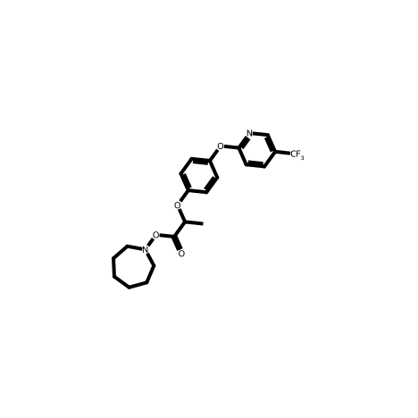 CC(Oc1ccc(Oc2ccc(C(F)(F)F)cn2)cc1)C(=O)ON1CCCCCC1